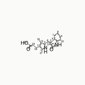 Cc1[nH]c(/C=C2/c3ccccc3N[14C]2=O)c(C)c1CCC(=O)O